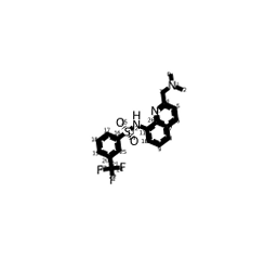 CN(C)Cc1ccc2cccc(NS(=O)(=O)c3cccc(C(F)(F)F)c3)c2n1